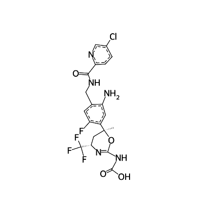 C[C@@]1(c2cc(N)c(CNC(=O)c3ccc(Cl)cn3)cc2F)C[C@@H](C(F)(F)F)N=C(NC(=O)O)O1